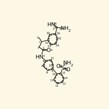 CC(CC(=O)Nc1ccc(-c2ccccc2S(N)(=O)=O)cc1)c1cccc(C(=N)N)c1